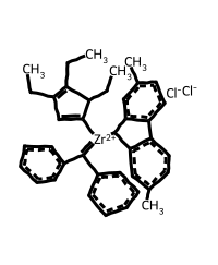 CCC1=C(CC)C(CC)[C]([Zr+2](=[C](c2ccccc2)c2ccccc2)[CH]2c3cc(C)ccc3-c3ccc(C)cc32)=C1.[Cl-].[Cl-]